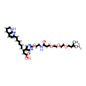 CC(C)CCOCCOCCOCCC(=O)NCCOc1ncc([C@@H](CCCCCCc2ccc3c(n2)NCCC3)CC(=O)O)cn1